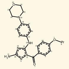 CC(C)Oc1ccc(C(=O)n2nc(N)nc2Nc2ccc(N3CCOCC3)cc2)cc1